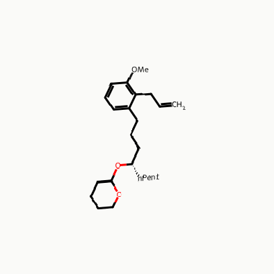 C=CCc1c(CCC[C@H](CCCCC)OC2CCCCO2)cccc1OC